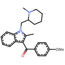 COc1ccc(C(=O)c2c(C)n(CC3CCCCN3C)c3ccccc23)cc1